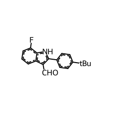 CC(C)(C)c1ccc(-c2[nH]c3c(F)cccc3c2C=O)cc1